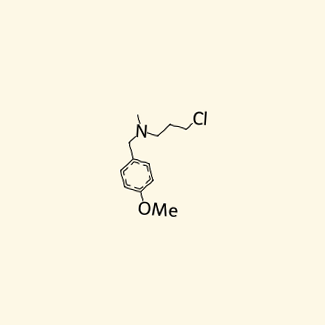 COc1ccc(CN(C)CCCCl)cc1